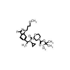 COCCCn1nc(F)c2ccc(C(C)N(C(=O)[C@H]3CN(C(=O)OC(C)(C)C)CCO3)C3CC3)cc21